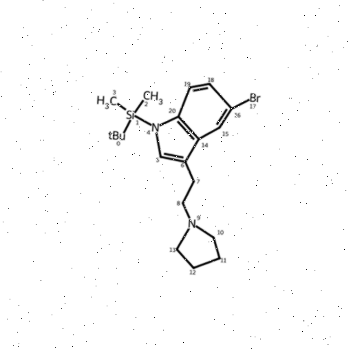 CC(C)(C)[Si](C)(C)n1cc(CCN2CCCC2)c2cc(Br)ccc21